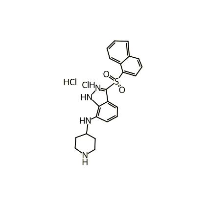 Cl.Cl.O=S(=O)(c1cccc2ccccc12)c1n[nH]c2c(NC3CCNCC3)cccc12